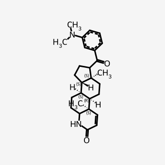 CN(C)c1cccc(C(=O)C2CC[C@H]3[C@@H]4CCC5NC(=O)C=C[C@]5(C)[C@@H]4CC[C@]23C)c1